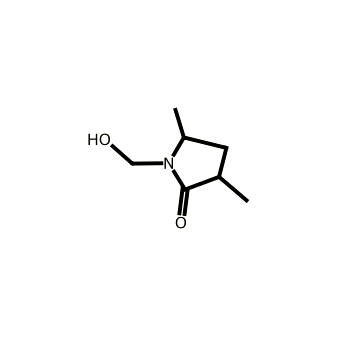 CC1CC(C)N(CO)C1=O